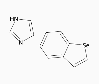 c1c[nH]cn1.c1ccc2[se]ccc2c1